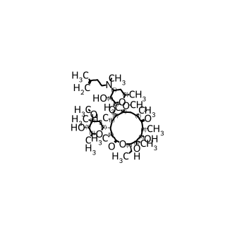 C=C(C)CCN(C)[C@H]1C[C@@H](C)O[C@@H](O[C@@H]2[C@@H](C)C([C@H]3C[C@@](C)(OC)[C@@H](O)[C@H](C)O3)[C@@H](C)C(=O)O[C@H](CC)[C@@](C)(O)[C@H](O)[C@@H](C)C(=O)[C@H](C)C[C@@]2(C)OC)[C@@H]1O